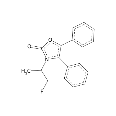 CC(CF)n1c(-c2ccccc2)c(-c2ccccc2)oc1=O